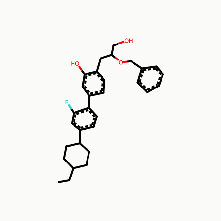 CCC1CCC(c2ccc(-c3ccc(CC(CO)OCc4ccccc4)c(O)c3)c(F)c2)CC1